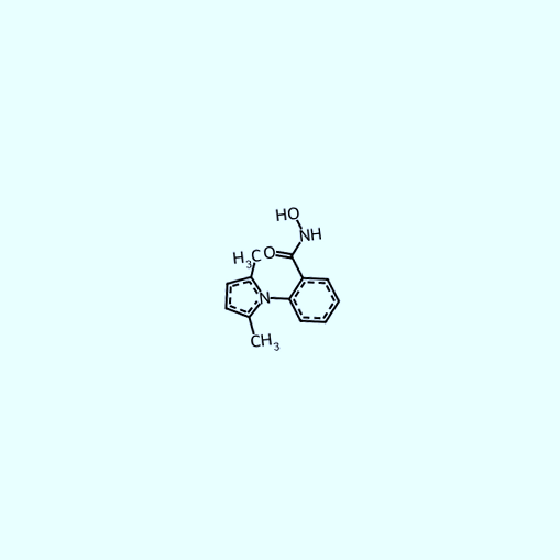 Cc1ccc(C)n1-c1ccccc1C(=O)NO